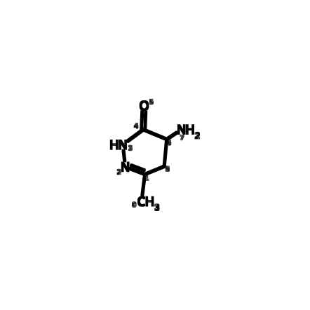 CC1=NNC(=O)C(N)C1